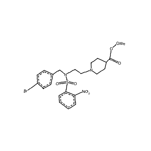 COOC(=O)C1CCN(CCN(Cc2ccc(Br)cc2)S(=O)(=O)c2ccccc2[N+](=O)[O-])CC1